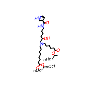 CCCCCCCCC(CCCCCCCC)OC(=O)CCCCCCCN(CCCCCC(=O)OC(C)CCCCCC)CC(O)CCCCNC(=O)c1cc[nH]c1